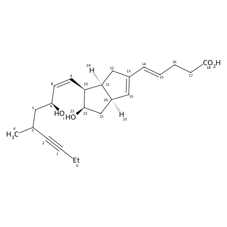 CCC#CC(C)C[C@H](O)/C=C\[C@H]1[C@H]2CC(C=CCCC(=O)O)=C[C@H]2C[C@H]1O